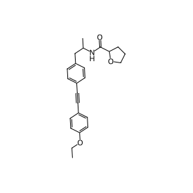 CCOc1ccc(C#Cc2ccc(CC(C)NC(=O)C3CCCO3)cc2)cc1